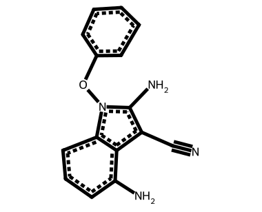 N#Cc1c(N)n(Oc2ccccc2)c2cccc(N)c12